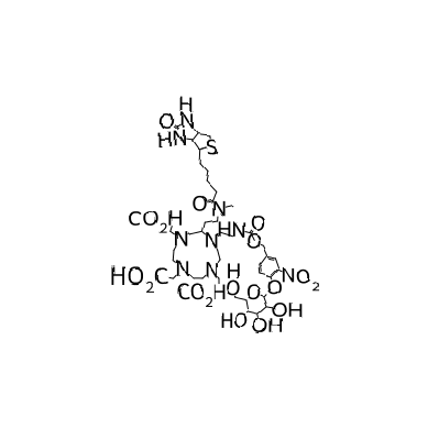 CN(CCC1CN(CC(=O)O)CCN(CC(=O)O)CCN(CC(=O)O)CCN1CCNC(=O)OCc1ccc(OC2OC(CO)C(O)C(O)C2O)c([N+](=O)[O-])c1)C(=O)CCCCC1SCC2NC(=O)NC21